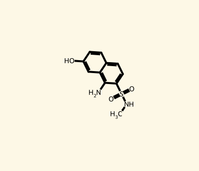 CNS(=O)(=O)c1ccc2ccc(O)cc2c1N